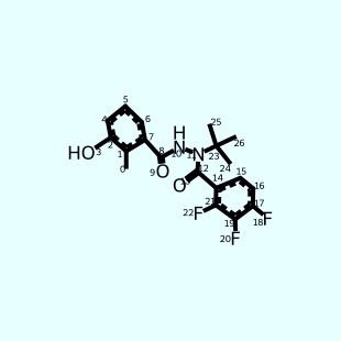 Cc1c(O)cccc1C(=O)NN(C(=O)c1ccc(F)c(F)c1F)C(C)(C)C